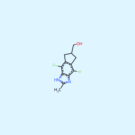 Cc1nc2c(F)c3c(c(F)c2[nH]1)CC(CO)C3